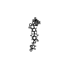 CCC(CC)(c1ccc(C=CC(OCOC)(C(F)(F)F)C(F)(F)F)c(C)c1)c1ccc(OC[C@H]2CCC(=O)O2)c(C)c1